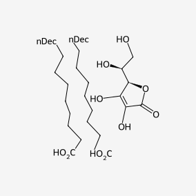 CCCCCCCCCCCCCCCCCC(=O)O.CCCCCCCCCCCCCCCCCC(=O)O.O=C1O[C@H]([C@@H](O)CO)C(O)=C1O